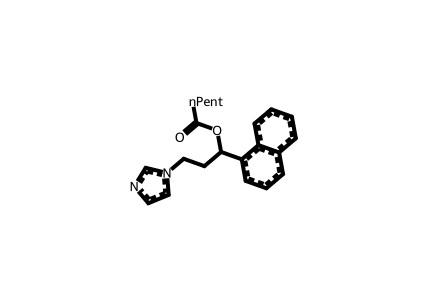 CCCCCC(=O)OC(CCn1ccnc1)c1cccc2ccccc12